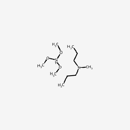 CCCN(C)CCC.CO[SiH](OC)OC